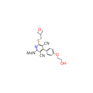 CNc1nc(SCC2COC2)c(C#N)c(-c2ccc(OCCO)cc2)c1C#N